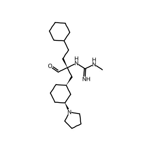 CNC(=N)N[C@](C=O)(CCC1CCCCC1)C[C@@H]1CCC[C@H](N2CCCC2)C1